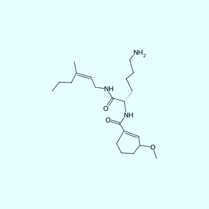 CCC/C(C)=C\CNC(=O)[C@H](CCCCN)NC(=O)C1=CC(OC)CCC1